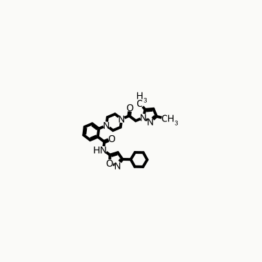 Cc1cc(C)n(CC(=O)N2CCN(c3ccccc3C(=O)Nc3cc(C4CCCCC4)no3)CC2)n1